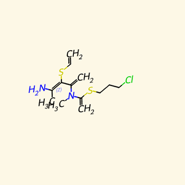 C=CS/C(C(=C)N(C)C(=C)SCCCCl)=C(/C)N